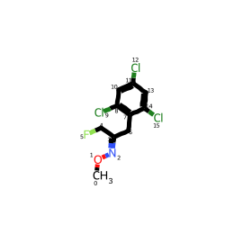 CO/N=C(\CF)Cc1c(Cl)cc(Cl)cc1Cl